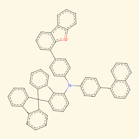 c1ccc2c(c1)-c1ccccc1C21c2ccccc2-c2c(N(c3ccc(-c4cccc5ccccc45)cc3)c3ccc(-c4cccc5c4oc4ccccc45)cc3)cccc21